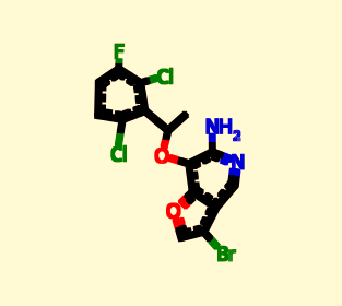 CC(Oc1c(N)ncc2c(Br)coc12)c1c(Cl)ccc(F)c1Cl